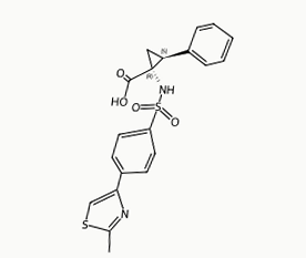 Cc1nc(-c2ccc(S(=O)(=O)N[C@]3(C(=O)O)C[C@H]3c3ccccc3)cc2)cs1